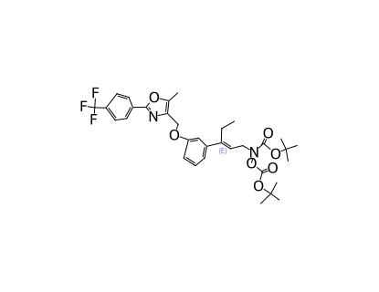 CC/C(=C\CN(OC(=O)OC(C)(C)C)C(=O)OC(C)(C)C)c1cccc(OCc2nc(-c3ccc(C(F)(F)F)cc3)oc2C)c1